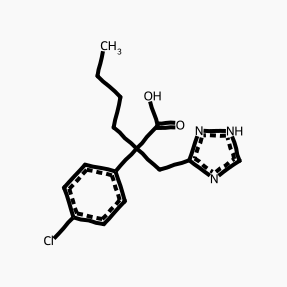 CCCCC(Cc1nc[nH]n1)(C(=O)O)c1ccc(Cl)cc1